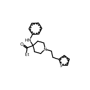 CCC(=O)C1(Nc2ccccc2)CCN(CCc2cccs2)CC1